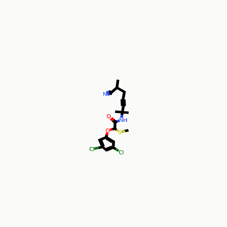 CSC(Oc1cc(Cl)cc(Cl)c1)C(=O)NC(C)(C)C#CCC(C)C#N